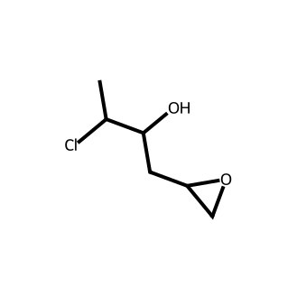 CC(Cl)C(O)CC1CO1